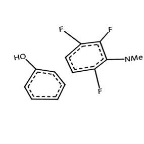 CNc1c(F)ccc(F)c1F.Oc1ccccc1